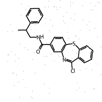 CC(CNC(=O)c1ccc2c(c1)N=C(Cl)c1ccccc1S2)c1ccccc1